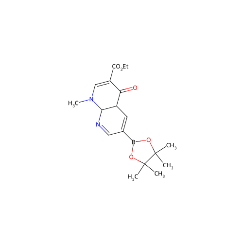 CCOC(=O)C1=CN(C)C2N=CC(B3OC(C)(C)C(C)(C)O3)=CC2C1=O